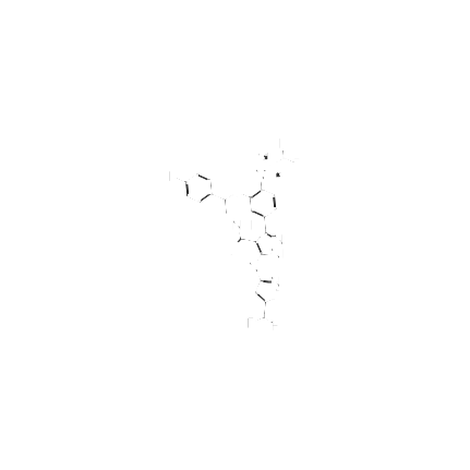 CC(Oc1cc(-c2n[nH]c(Nc3cc(C(F)F)on3)c2C(N)=O)ccc1NS(=O)(=O)C(F)F)c1ccc(F)cc1